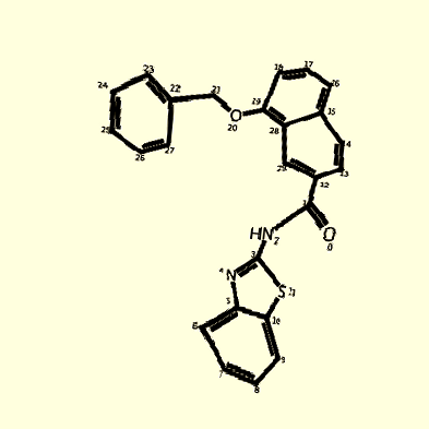 O=C(Nc1nc2ccccc2s1)c1ccc2cccc(OCc3ccccc3)c2c1